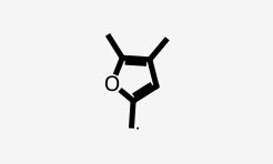 [CH2]c1cc(C)c(C)o1